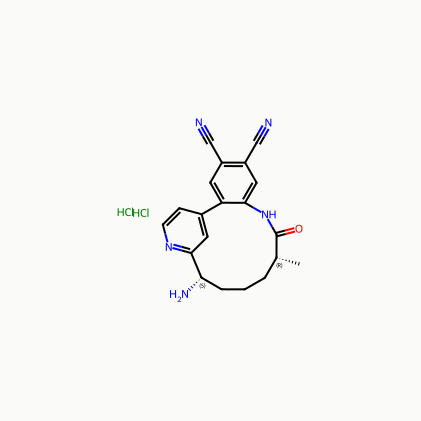 C[C@@H]1CCC[C@H](N)c2cc(ccn2)-c2cc(C#N)c(C#N)cc2NC1=O.Cl.Cl